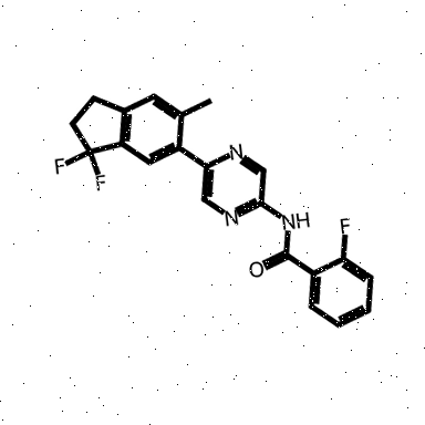 Cc1cc2c(cc1-c1cnc(NC(=O)c3ccccc3F)cn1)C(F)(F)CC2